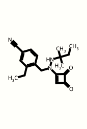 CCc1cc(C#N)ccc1CN(NC(C)(C)CC)c1cc(=O)c1=O